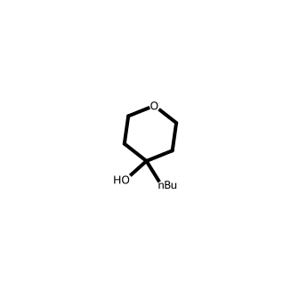 CCCCC1(O)CCOCC1